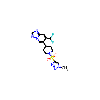 Cn1cc(S(=O)(=O)N2CCC(c3cn4ncnc4cc3C(F)F)CC2)nn1